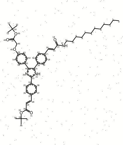 CCCCCCCCCCCCNC(=O)C=Cc1ccc(-c2[nH]c(-c3ccc(C=CC(=O)OC(C)(C)C)cc3)nc2-c2ccc(OCC(=O)OC(C)(C)C)cc2)cc1